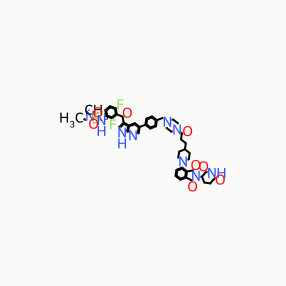 CCN(C)S(=O)(=O)Nc1ccc(F)c(C(=O)c2c[nH]c3ncc(-c4ccc(CN5CCN(C(=O)CCC6CCN(c7cccc8c7C(=O)N(C7CCC(=O)NC7=O)C8=O)CC6)CC5)cc4)cc23)c1F